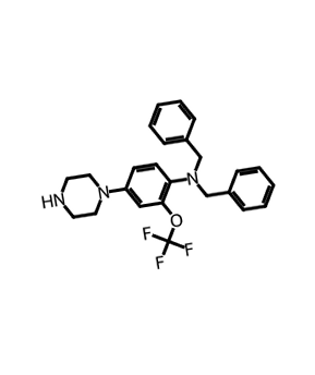 FC(F)(F)Oc1cc(N2CCNCC2)ccc1N(Cc1ccccc1)Cc1ccccc1